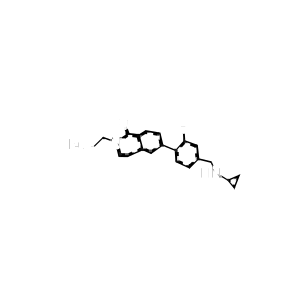 CC[C@@H](C)CCn1ccc2cc(-c3ccc(CNC4CC4)cc3F)ccc2c1=O